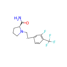 NC(=O)[C@@H]1CCCN1C[CH]c1ccc(C(F)(F)F)c(F)c1